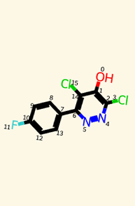 Oc1c(Cl)nnc(-c2ccc(F)cc2)c1Cl